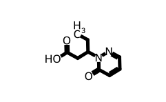 CCC(CC(=O)O)n1ncccc1=O